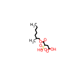 CCCCCC(C)COC(=O)C(CC(=O)O)S(=O)(=O)O